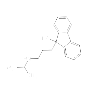 CC(C)NCCCC1(O)c2ccccc2-c2ccccc21